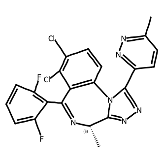 Cc1ccc(-c2nnc3n2-c2ccc(Cl)c(Cl)c2C(c2c(F)cccc2F)=N[C@H]3C)nn1